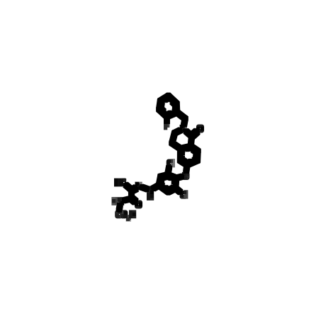 N#CC(=NNc1cc(Cl)c(Oc2ccc3c(c2)CCN(Cc2ccccc2F)C3=O)c(Cl)c1)C(=O)NC(=O)O